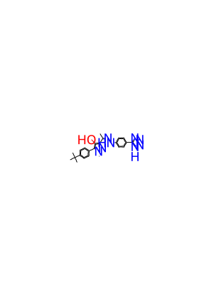 CC(=NNc1ccc(-c2nnn[nH]2)cc1)c1nn(C)c(-c2ccc(C(C)(C)C)cc2)c1O